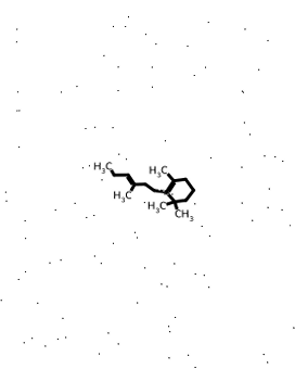 CC/C=C(\C)CCC1=C(C)CCCC1(C)C